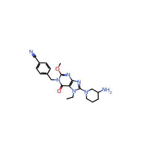 CCn1c(N2CCCC(N)C2)nc2nc(OC)n(Cc3ccc(C#N)cc3)c(=O)c21